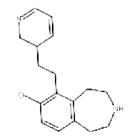 Clc1ccc2c(c1CCC1C=CC=NC1)CCNCC2